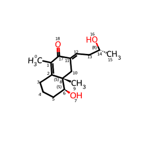 CC1=C2CCC[C@H](O)[C@@]2(C)CC(=CC[C@@H](C)O)C1=O